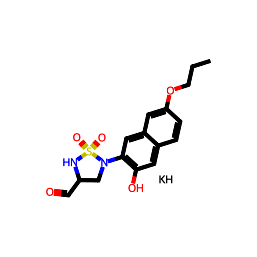 CCCOc1ccc2cc(O)c(N3CC(C=O)NS3(=O)=O)cc2c1.[KH]